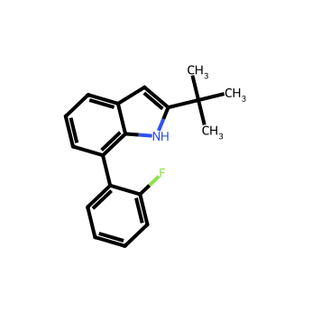 CC(C)(C)c1cc2cccc(-c3ccccc3F)c2[nH]1